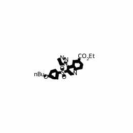 CCCCOc1ccc(S(=O)(=O)c2cnc3ccc(C(=O)OCC)cc3c2-n2ccnn2)cc1